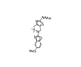 CNc1nc2c(s1)CN(c1nc3cc(SC)ccc3o1)C(C)(C)C2